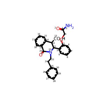 NC(=O)COc1ccccc1C1C(C(=O)O)c2ccccc2C(=O)N1CCc1ccccc1